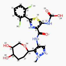 Cn1ncc(NC(=O)c2nc(-c3c(F)cccc3F)sc2NC(=O)O)c1C1CCC(O)C(O)CO1